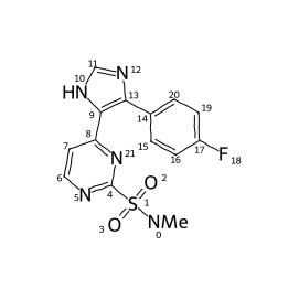 CNS(=O)(=O)c1nccc(-c2[nH]cnc2-c2ccc(F)cc2)n1